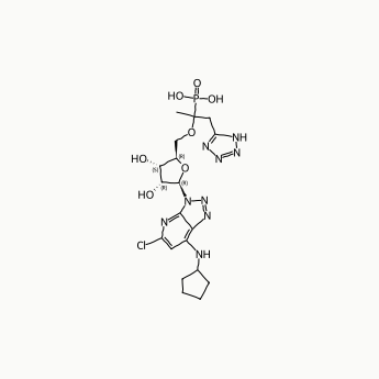 CC(Cc1nnn[nH]1)(OC[C@H]1O[C@@H](n2nnc3c(NC4CCCC4)cc(Cl)nc32)[C@H](O)[C@@H]1O)P(=O)(O)O